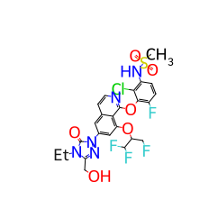 CCn1c(CO)nn(-c2cc(OC(CF)C(F)F)c3c(Oc4c(F)ccc(NS(C)(=O)=O)c4Cl)nccc3c2)c1=O